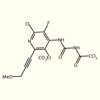 CCOC(=O)c1c(C#CCOC)nc(Cl)c(F)c1NC(=O)NC(=O)C(Cl)(Cl)Cl